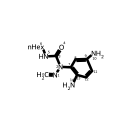 C=NN(C(=O)NCCCCCC)c1cc(N)ccc1N